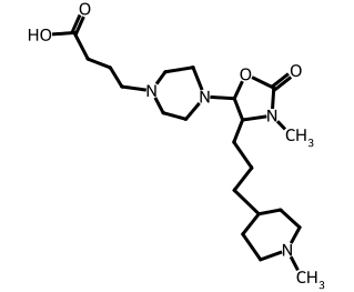 CN1CCC(CCCC2C(N3CCN(CCCC(=O)O)CC3)OC(=O)N2C)CC1